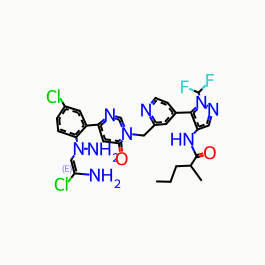 CCCC(C)C(=O)Nc1cnn(C(F)F)c1-c1ccnc(Cn2cnc(-c3cc(Cl)ccc3N(N)/C=C(\N)Cl)cc2=O)c1